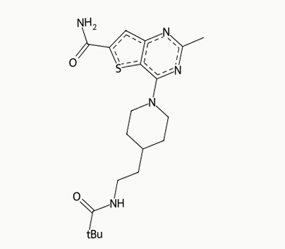 Cc1nc(N2CCC(CCNC(=O)C(C)(C)C)CC2)c2sc(C(N)=O)cc2n1